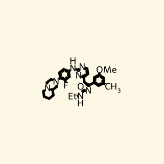 CCNc1nc(-c2cc(C)cc(OC)c2)c(-c2ccnc(Nc3ccc(N4CCN5CCCCC5C4)c(F)c3)n2)o1